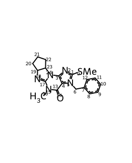 CSc1nc2c(n1Cc1ccccc1)C(=O)N(C)C1=NC3CCCC3N12